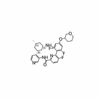 C[C@@H]1C[C@H](N)C[C@H](c2ccncc2NC(=O)c2ccc(F)c(-c3c(F)cc(OC4CCCOC4)cc3F)n2)C1